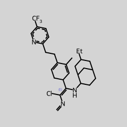 C=N/C(Cl)=C(\NC1CCC2CC(CC)CC1C2)C1C=C(C)C(CCc2ccc(C(F)(F)F)cn2)=CC1